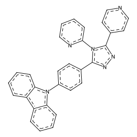 c1ccc(-n2c(-c3ccncc3)nnc2-c2ccc(-n3c4ccccc4c4ccccc43)cc2)nc1